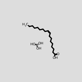 CCCCCCCC/C=C\CCCCCCCC(=O)O.OB(O)O